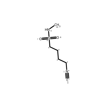 [C-]#[N+]CCCCS(=O)(=O)NC